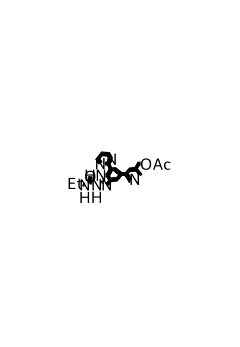 CCNC(=O)Nc1nc2cc(-c3cncc(COC(C)=O)c3)cc(-c3ncccn3)c2[nH]1